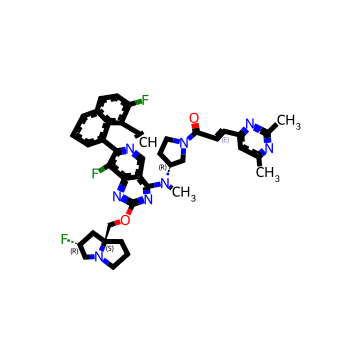 C#Cc1c(F)ccc2cccc(-c3ncc4c(N(C)[C@@H]5CCN(C(=O)/C=C/c6cc(C)nc(C)n6)C5)nc(OC[C@@]56CCCN5C[C@H](F)C6)nc4c3F)c12